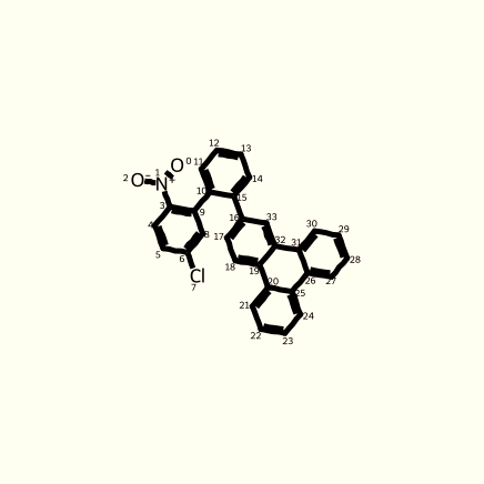 O=[N+]([O-])c1ccc(Cl)cc1-c1ccccc1-c1ccc2c3ccccc3c3ccccc3c2c1